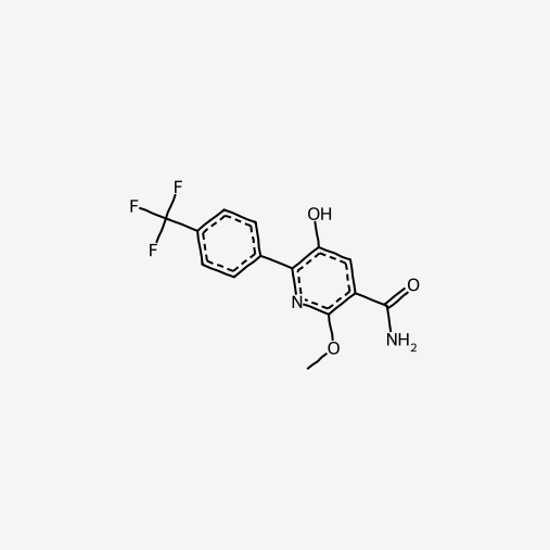 COc1nc(-c2ccc(C(F)(F)F)cc2)c(O)cc1C(N)=O